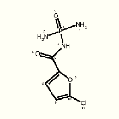 NP(N)(=O)NC(=O)c1ccc(Cl)o1